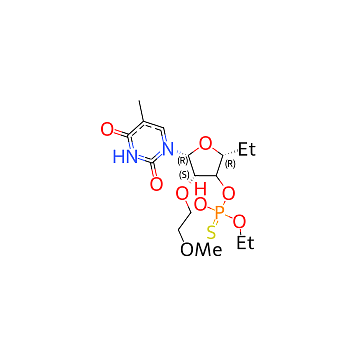 CCOP(O)(=S)OC1[C@@H](CC)O[C@@H](n2cc(C)c(=O)[nH]c2=O)[C@H]1OCCOC